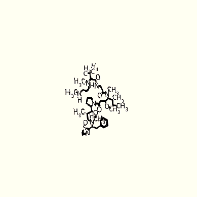 CCC(C)C(C(CC(=O)N1CCCC1C(OC)[C@@H](C)C(=O)NC(Cc1ccccc1)c1nccs1)OC)N(C)C(=O)CNC(=O)C(C(C)C)N(C)CCCNC